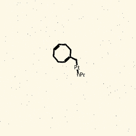 CC[CH2][Pt][CH2]/C1=C/CC/C=C\CC1